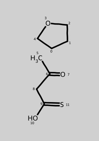 C1CCOC1.CC(=O)CC(O)=S